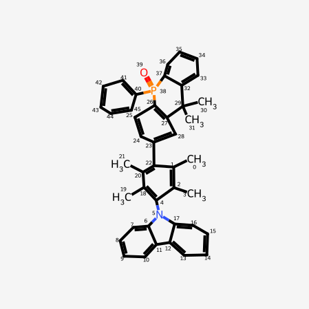 Cc1c(C)c(-n2c3ccccc3c3ccccc32)c(C)c(C)c1-c1ccc2c(c1)C(C)(C)c1ccccc1P2(=O)c1ccccc1